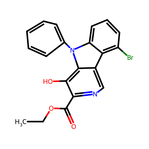 CCOC(=O)c1ncc2c3c(Br)cccc3n(-c3ccccc3)c2c1O